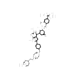 Cc1c(NC(=O)c2ccc(C(C)(C)O)cc2F)cc(F)cc1-c1ncnc2[nH]c(-c3ccc(CN4CCN(CCC5CCNCC5)CC4)cc3)cc12